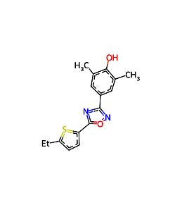 CCc1ccc(-c2nc(-c3cc(C)c(O)c(C)c3)no2)s1